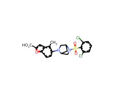 Cc1c(N2CC3CC2CN3S(=O)(=O)c2c(Cl)cccc2Cl)ccc2oc(C(=O)O)cc12